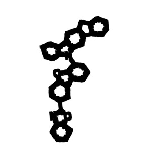 c1ccc2c(c1)Cc1cc3c4ccccc4n(-c4cccc5c4oc4ccc(-c6nc7ccccc7o6)cc45)c3cc1-2